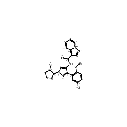 CCOc1ccc(Cl)cc1-c1nn(C2CCC[C@H]2O)cc1NC(O)c1cnn2cccnc12